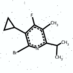 Cc1c(C(C)C)nc(Br)c(C2CC2)c1F